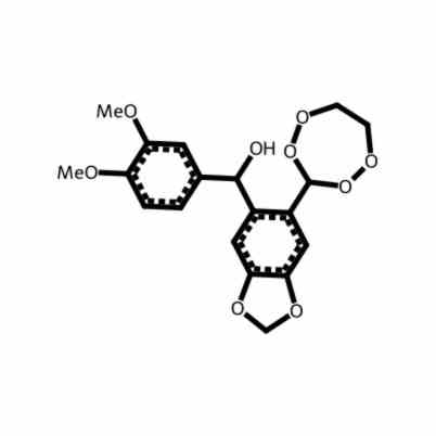 COc1ccc(C(O)c2cc3c(cc2C2OOCCOO2)OCO3)cc1OC